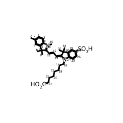 Cc1ccc2c(c1)C(C)(C)C(/C=C/C=C1/N(CCCCCCCC(=O)O)c3ccc(S(=O)(=O)O)cc3C1(C)C)=[N+]2C